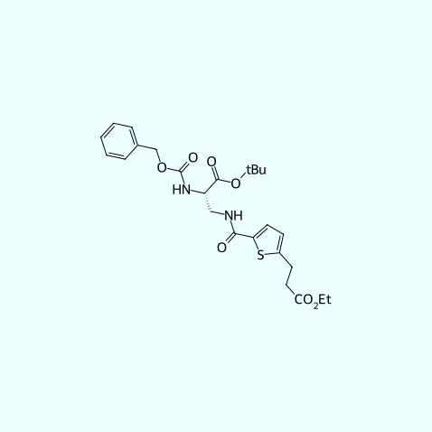 CCOC(=O)CCc1ccc(C(=O)NC[C@H](NC(=O)OCc2ccccc2)C(=O)OC(C)(C)C)s1